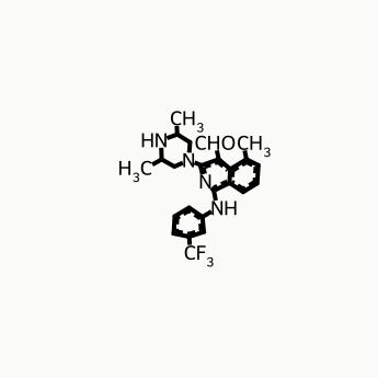 Cc1cccc2c(Nc3cccc(C(F)(F)F)c3)nc(N3CC(C)NC(C)C3)c(C=O)c12